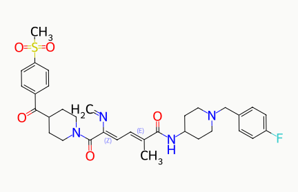 C=N/C(=C\C=C(/C)C(=O)NC1CCN(Cc2ccc(F)cc2)CC1)C(=O)N1CCC(C(=O)c2ccc(S(C)(=O)=O)cc2)CC1